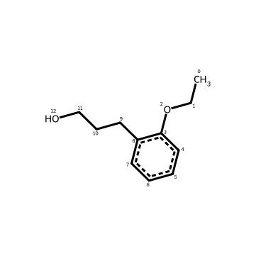 CCOc1ccccc1CCCO